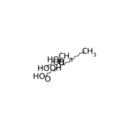 CC(=O)O.CCCCCCCCCCCCCCCCCC(=O)O.OCC(O)CO